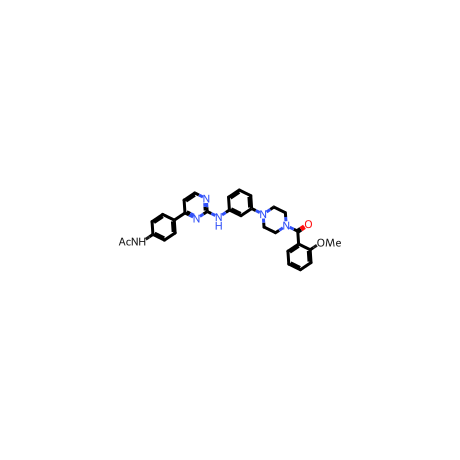 COc1ccccc1C(=O)N1CCN(c2cccc(Nc3nccc(-c4ccc(NC(C)=O)cc4)n3)c2)CC1